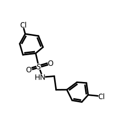 O=S(=O)(NCCc1ccc(Cl)cc1)c1ccc(Cl)cc1